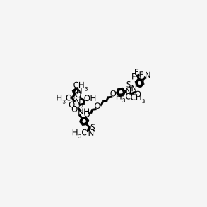 Cc1cc([C@H](C)C(=O)N2CC(O)C[C@@H]2C(=O)NCc2ccc(-c3scnc3C)cc2OCCCOCCCCCOc2ccc(N3C(=S)N(c4ccc(C#N)c(C(F)(F)F)c4)C(=O)C3(C)C)cc2)on1